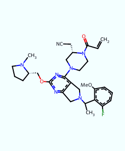 C=CC(=O)N1CCN(c2nc(OC[C@@H]3CCCN3C)nc3c2CN(C(C)c2c(F)cccc2OC)C3)C[C@@H]1CC#N